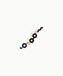 CCCCCOc1ccc2c(sc3c(F)c(OC[C@H]4CC[C@H](CC)CC4)ccc32)c1F